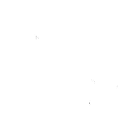 c1ccc(-c2ccc(N(c3ccc(-c4ccc(-c5ccc6c(c5)c5ccccc5n6-c5ccccc5)cc4)cc3)c3cccc4oc5ccc6ccccc6c5c34)cc2)cc1